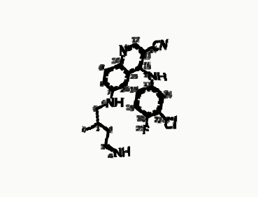 CC(CC=N)CNc1ccc2ncc(C#N)c(Nc3ccc(F)c(Cl)c3)c2c1